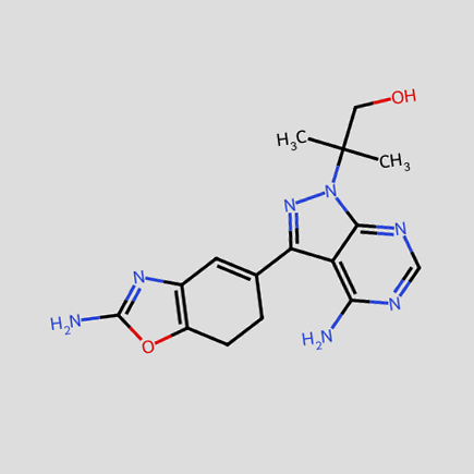 CC(C)(CO)n1nc(C2=Cc3nc(N)oc3CC2)c2c(N)ncnc21